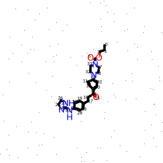 CCCOC(=O)N1CCN(c2ccc(C(=O)CCc3ccc(NC4=NCCN4)cc3)cc2)CC1